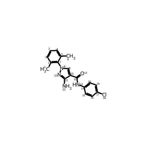 Cc1cccc(C)c1-n1cc(C(=O)Nc2ccc(Cl)cc2)c(N)n1